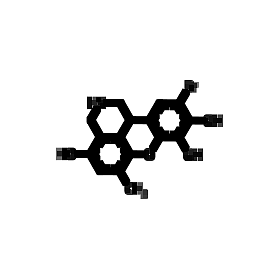 Cc1cc(O)c2c3c1Oc1c(cc(Br)c(O)c1O)C3CNC2